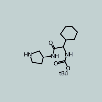 CC(C)(C)OC(=O)NC(C(=O)N[C@H]1CCNC1)C1CCCCC1